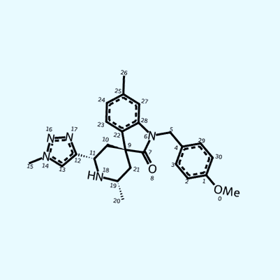 COc1ccc(CN2C(=O)[C@@]3(C[C@@H](c4cn(C)nn4)N[C@@H](C)C3)c3ccc(C)cc32)cc1